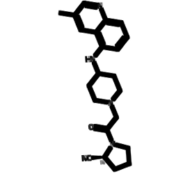 Cc1cnc2cccc(NC3CCN(CC(=O)N4CCC[C@H]4C#N)CC3)c2c1